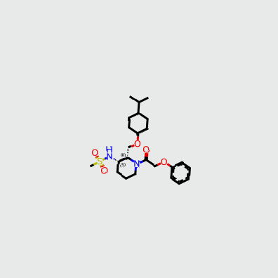 CC(C)C1CCC(OC[C@H]2[C@@H](NS(C)(=O)=O)CCCN2C(=O)COc2ccccc2)CC1